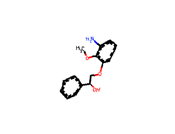 COc1c(N)cccc1OCC(O)c1ccccc1